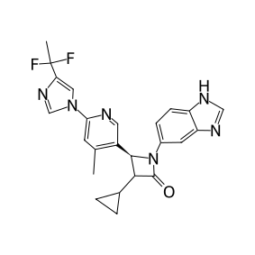 Cc1cc(-n2cnc(C(C)(F)F)c2)ncc1[C@@H]1C(C2CC2)C(=O)N1c1ccc2[nH]cnc2c1